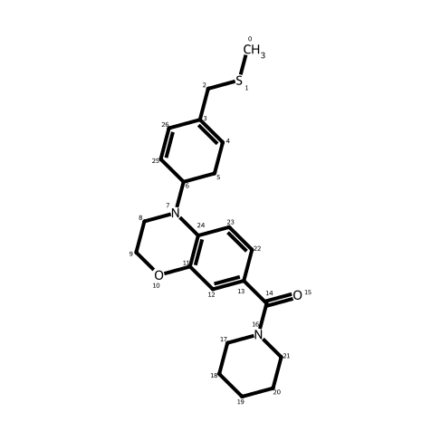 CSCC1=CCC(N2CCOc3cc(C(=O)N4CCCCC4)ccc32)C=C1